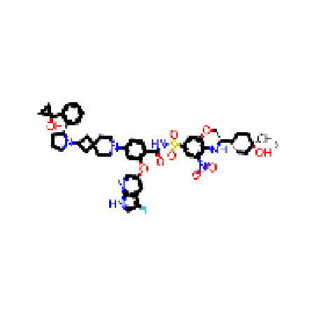 C[C@]1(O)CC[C@H]([C@H]2COc3cc(S(=O)(=O)NC(=O)c4ccc(N5CCC6(CC5)CC(N5CCC[C@@H]5c5ccccc5C5(O)CC5)C6)cc4Oc4cnc5[nH]cc(F)c5c4)cc([N+](=O)[O-])c3N2)CC1